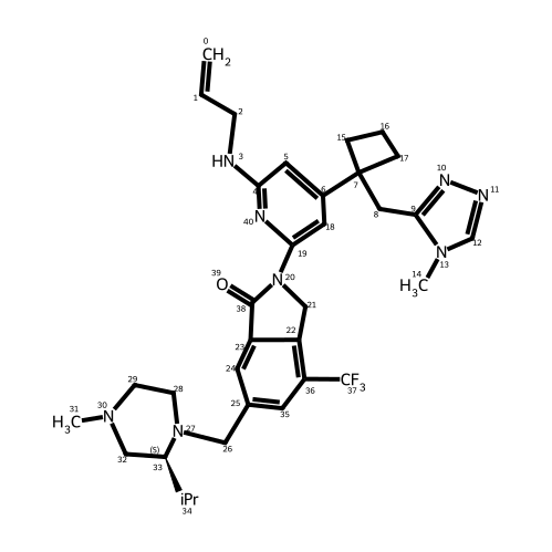 C=CCNc1cc(C2(Cc3nncn3C)CCC2)cc(N2Cc3c(cc(CN4CCN(C)C[C@@H]4C(C)C)cc3C(F)(F)F)C2=O)n1